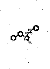 CC(C)(C)c1cc(NC(=O)Nc2ccccc2)n(-c2cccc(-c3cccnc3)c2)n1